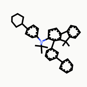 CC1(C)c2ccccc2-c2ccc(N(c3ccc(C4CCCCC4)cc3)C(C)(C)C)c(-c3cccc(-c4ccccc4)c3)c21